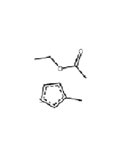 CCOC(C)=O.Cc1ccsc1